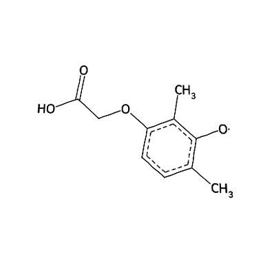 Cc1ccc(OCC(=O)O)c(C)c1[O]